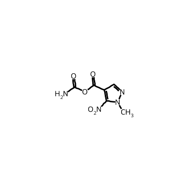 Cn1ncc(C(=O)OC(N)=O)c1[N+](=O)[O-]